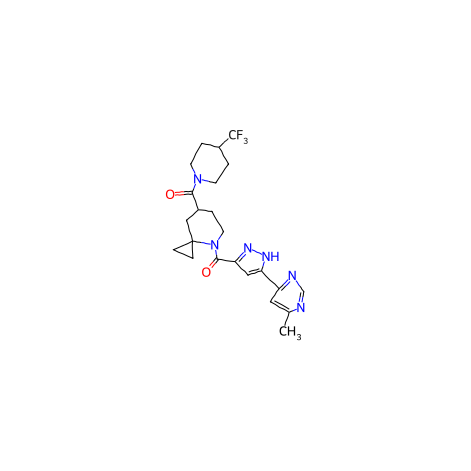 Cc1cc(-c2cc(C(=O)N3CCC(C(=O)N4CCC(C(F)(F)F)CC4)CC34CC4)n[nH]2)ncn1